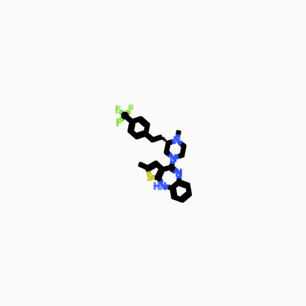 Cc1cc2c(s1)Nc1ccccc1N=C2N1CCN(C)[C@@H](CCc2ccc(C(F)(F)F)cc2)C1